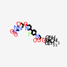 CC(C)(C)[Si](C)(C)OC[C@H]1CN(c2ccc(-c3ccc(O[C@@H]4COc5nc([N+](=O)[O-])cn5C4)nc3)c(F)c2)C(=O)O1